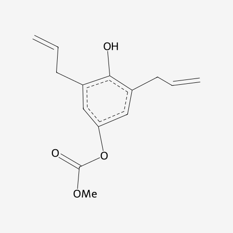 C=CCc1cc(OC(=O)OC)cc(CC=C)c1O